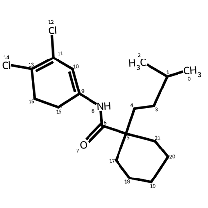 CC(C)CCC1(C(=O)NC2=CC(Cl)=C(Cl)C[CH]2)CCCCC1